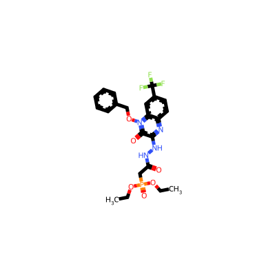 CCOP(=O)(CC(=O)NNc1nc2ccc(C(F)(F)F)cc2n(OCc2ccccc2)c1=O)OCC